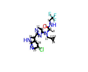 C[C@H](C(=O)NCC(F)(F)F)N(CC1CC1)c1ccnc(-c2c[nH]c3ncc(Cl)cc23)n1